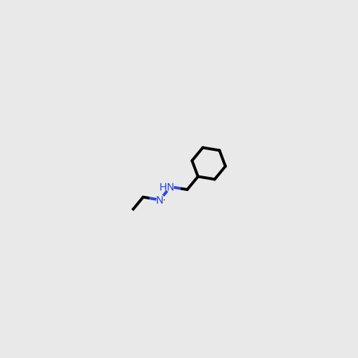 CC[N]NCC1CCCCC1